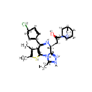 Cc1sc2c(c1C)C(c1ccc(Cl)cc1)=N[C@@H](CC(=O)N1CC3CCC1CC3)c1nnc(C)n1-2